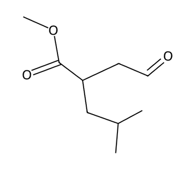 COC(=O)C(CC=O)CC(C)C